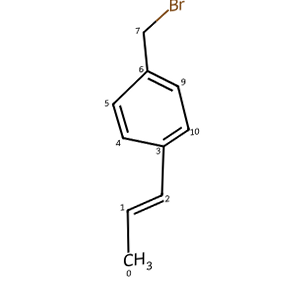 CC=Cc1ccc(CBr)cc1